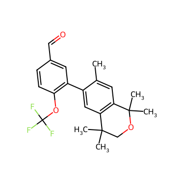 Cc1cc2c(cc1-c1cc(C=O)ccc1OC(F)(F)F)C(C)(C)COC2(C)C